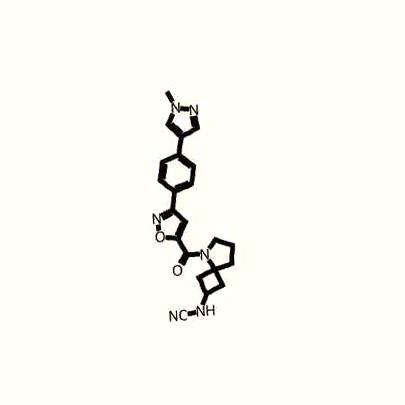 Cn1cc(-c2ccc(-c3cc(C(=O)N4CCCC45CC(NC#N)C5)on3)cc2)cn1